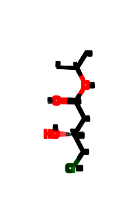 CC(C)OC(=O)C[C@@H](O)CCl